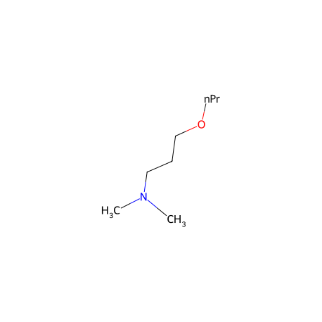 CCCOCCCN(C)C